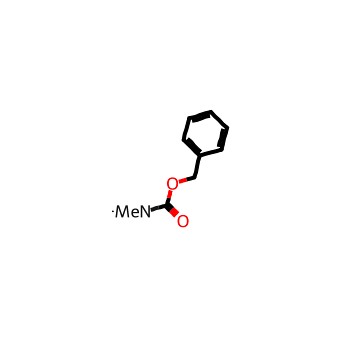 C[N]C(=O)OCc1ccccc1